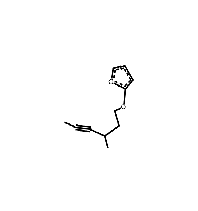 CC#CC(C)C[CH]Oc1ccco1